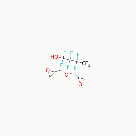 C(OCC1CO1)C1CO1.OC(F)(F)C(F)(F)C(F)(F)C(F)(F)F